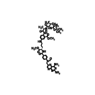 COC(=O)c1cc(NCCC[C@H](NC(=O)c2ccc(N(C=O)Cc3cnc4nc(N)nc(N)c4n3)cc2)C(=O)OC)ccc1NC(=O)[C@H](C)NC(=O)[C@@H](NC(=O)OC(C)(C)C)C(C)C